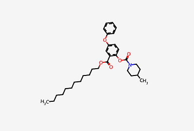 CCCCCCCCCCCCOC(=O)c1cc(Oc2ccccc2)ccc1OC(=O)N1CCC(C)CC1